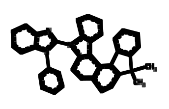 CC1(C)c2ccccc2-c2c1ccc1ccc3c(c4ccccc4n3-c3nc4ccccc4n3-c3ccccc3)c21